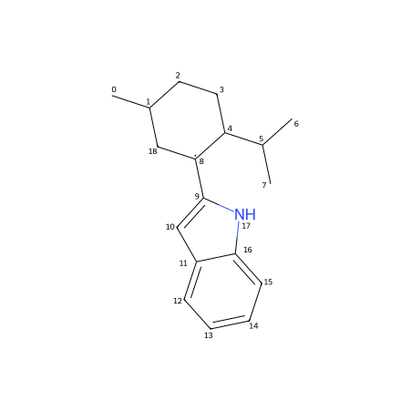 CC1CCC(C(C)C)[C](c2cc3ccccc3[nH]2)C1